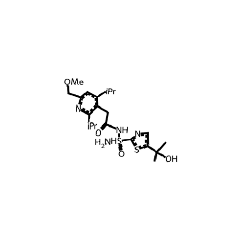 COCc1cc(C(C)C)c(CC(=O)N[SH](N)(=O)c2ncc(C(C)(C)O)s2)c(C(C)C)n1